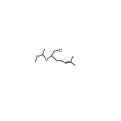 COC(C)OC(CCl)CCC=C(C)C